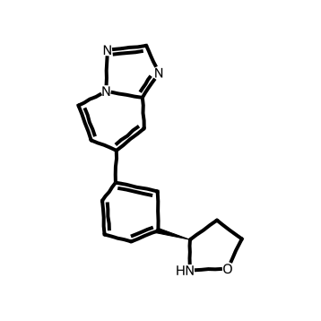 c1cc(-c2ccn3ncnc3c2)cc([C@H]2CCON2)c1